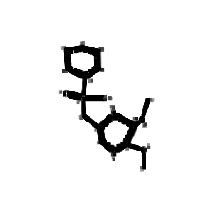 COc1ncc(CS(=O)(=O)c2ccccc2)nc1OC